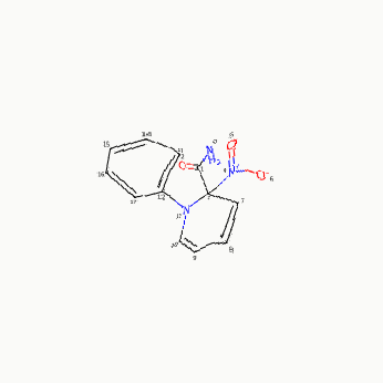 NC(=O)C1([N+](=O)[O-])C=CC=CN1c1ccccc1